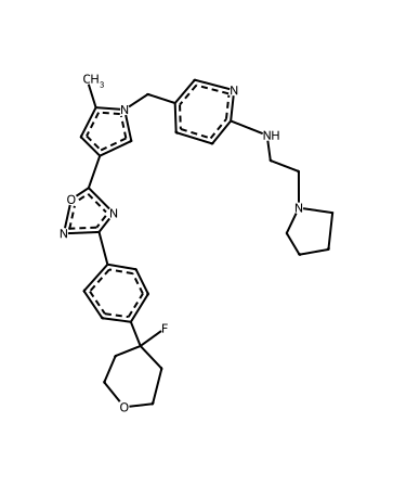 Cc1cc(-c2nc(-c3ccc(C4(F)CCOCC4)cc3)no2)cn1Cc1ccc(NCCN2CCCC2)nc1